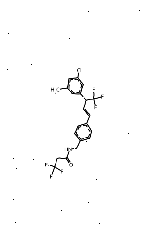 Cc1cc(Cl)cc(C(/C=C/c2ccc(CNC(=O)CC(F)(F)F)cc2)C(F)(F)F)c1